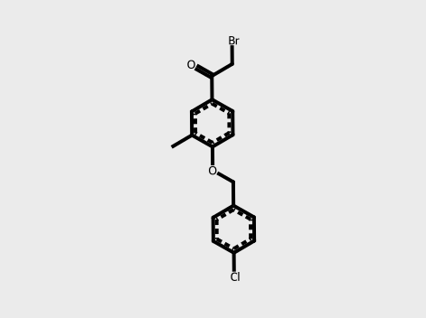 Cc1cc(C(=O)CBr)ccc1OCc1ccc(Cl)cc1